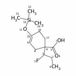 CCC(F)C1(C(=O)O)CC=C(O[Si](C)(C)C)CC1